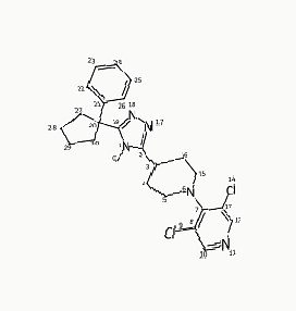 Cn1c(C2CCN(c3c(Cl)cncc3Cl)CC2)nnc1C1(c2ccccc2)CCCC1